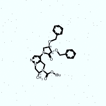 C[C@H]1Cn2ncc(N3C[C@@H](OCc4ccccc4)[C@H](OCc4ccccc4)C3=O)c2CN1C(=O)OC(C)(C)C